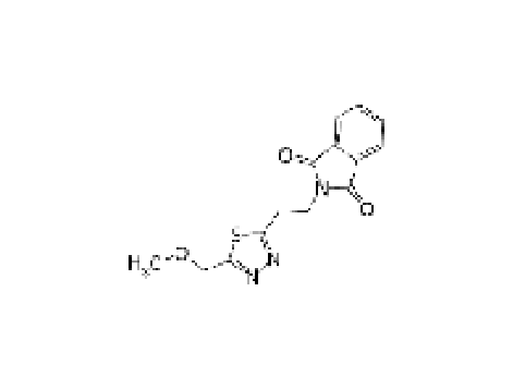 COCc1nnc(CCN2C(=O)c3ccccc3C2=O)s1